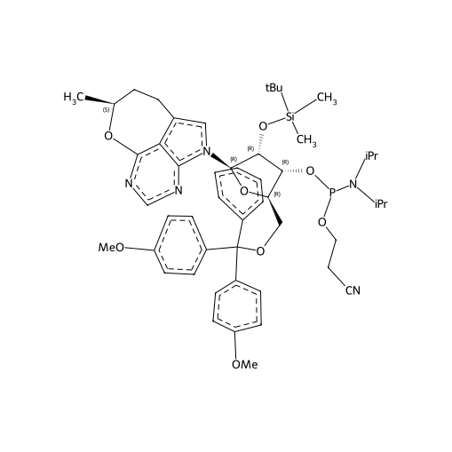 COc1ccc(C(OC[C@H]2O[C@@H](n3cc4c5c(ncnc53)O[C@@H](C)CC4)[C@H](O[Si](C)(C)C(C)(C)C)[C@@H]2OP(OCCC#N)N(C(C)C)C(C)C)(c2ccccc2)c2ccc(OC)cc2)cc1